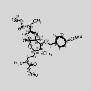 COc1ccc(CO[C@H]2[C@H](C)[C@@H](CCN(C)C(=O)OC(C)(C)C)O[C@@H]3SC(N(C)C(=O)OC(C)(C)C)=N[C@H]23)cc1